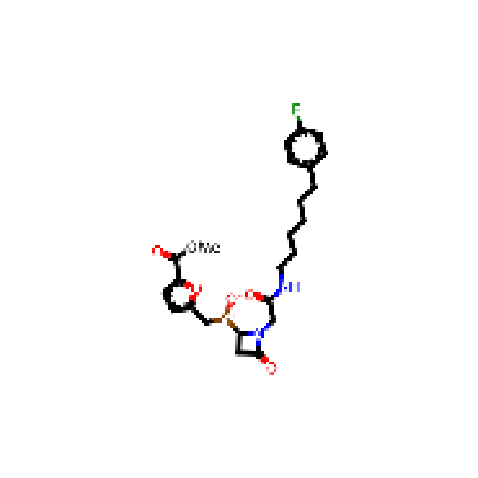 COC(=O)c1ccc(C[S+]([O-])C2CC(=O)N2CC(=O)NCCCCCCc2ccc(F)cc2)o1